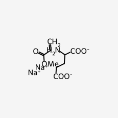 C=CC(=O)OC.NC(CCC(=O)[O-])C(=O)[O-].[Na+].[Na+]